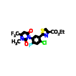 CCOC(=O)c1csc(-c2cc(-n3c(=O)cc(C(F)(F)F)n(C)c3=O)c(F)cc2Cl)n1